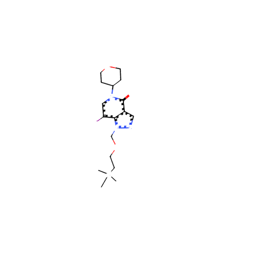 C[Si](C)(C)CCOCn1ncc2c(=O)n(C3CCOCC3)cc(I)c21